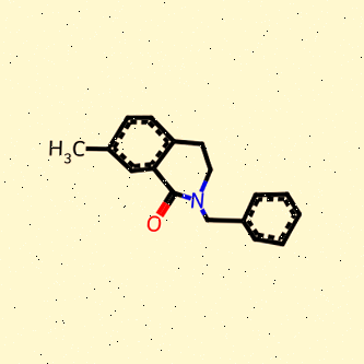 Cc1ccc2c(c1)C(=O)N(Cc1ccccc1)CC2